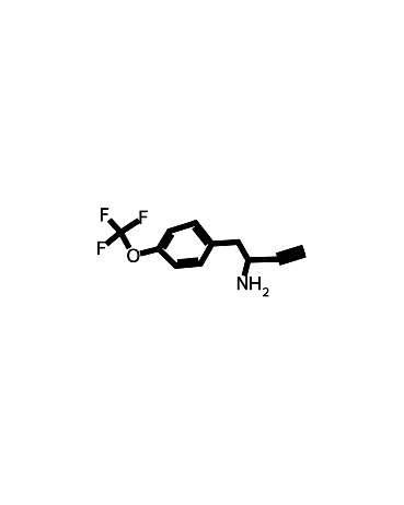 C#CC(N)Cc1ccc(OC(F)(F)F)cc1